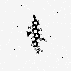 C#Cc1ccc2c(c1)[nH]c1c2c(=O)c2cc(OCC)c(-c3cncc(OS(=O)(=O)F)c3)cc2n1C1CC1